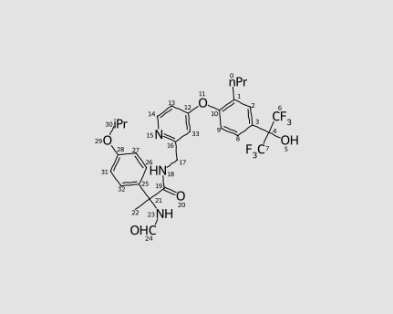 CCCc1cc(C(O)(C(F)(F)F)C(F)(F)F)ccc1Oc1ccnc(CNC(=O)C(C)(NC=O)c2ccc(OC(C)C)cc2)c1